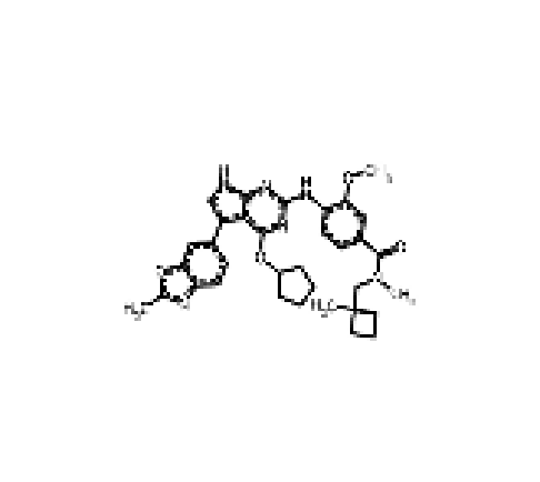 COc1cc(C(=O)N(C)CC2(C)CCC2)ccc1Nc1nc(OC2CCCC2)c2c(-c3ccc4nc(C)oc4c3)c[nH]c2n1